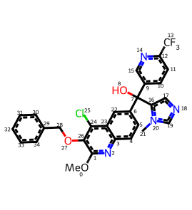 COc1nc2ccc(C(O)(c3ccc(C(F)(F)F)nc3)c3cncn3C)cc2c(Cl)c1OCc1ccccc1